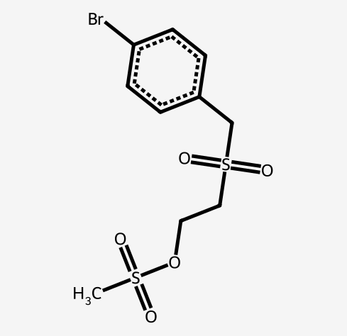 CS(=O)(=O)OCCS(=O)(=O)Cc1ccc(Br)cc1